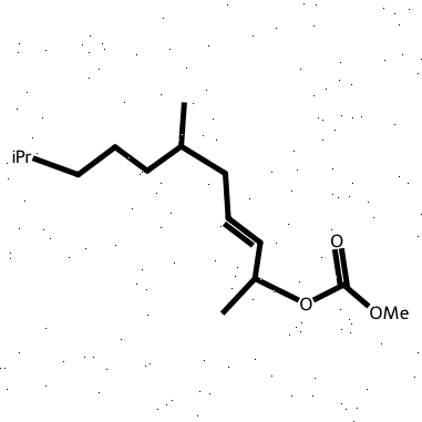 COC(=O)OC(C)C=CCC(C)CCCC(C)C